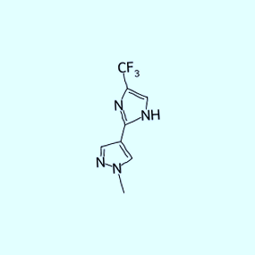 Cn1cc(-c2nc(C(F)(F)F)c[nH]2)cn1